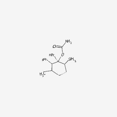 CCCC1(OC(N)=O)C([SiH3])CCC(C)C1C(C)C